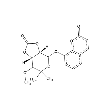 COC1[C@@H]2OC(=O)O[C@@H]2C(Oc2cccc3ccc(=O)oc23)OC1(C)C